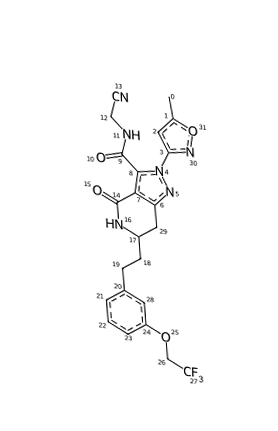 Cc1cc(-n2nc3c(c2C(=O)NCC#N)C(=O)NC(CCc2cccc(OCC(F)(F)F)c2)C3)no1